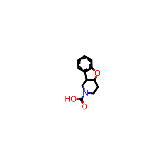 O=C(O)N1CCC2Oc3ccccc3C2C1